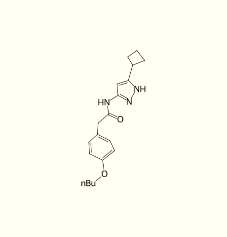 CCCCOc1ccc(CC(=O)Nc2cc(C3CCC3)[nH]n2)cc1